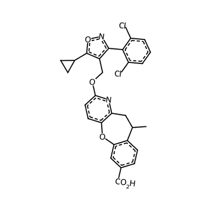 CC1Cc2nc(OCc3c(-c4c(Cl)cccc4Cl)noc3C3CC3)ccc2Oc2cc(C(=O)O)ccc21